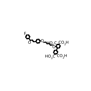 O=C(C=Cc1ccc(OCCCCCCOc2c(-c3ccc(C(=O)O)c(C(=O)O)c3)ccc(C(=O)O)c2C(=O)O)cc1)c1ccc(F)cc1